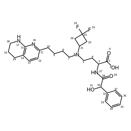 O=C(O)C(CCN(CCCCc1ccc2c(n1)NCCC2)C1CC(F)(F)C1)NC(=O)C(O)c1ccccc1